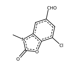 Cn1c(=O)oc2c(Cl)cc(C=O)cc21